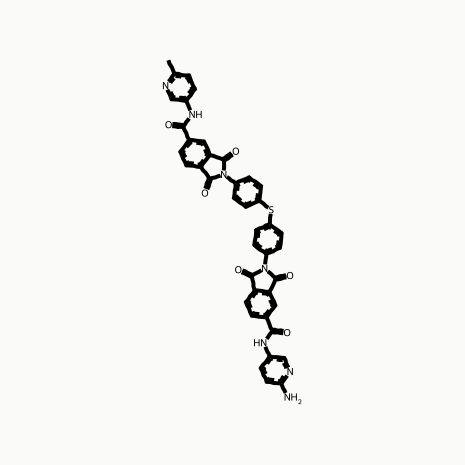 Cc1ccc(NC(=O)c2ccc3c(c2)C(=O)N(c2ccc(Sc4ccc(N5C(=O)c6ccc(C(=O)Nc7ccc(N)nc7)cc6C5=O)cc4)cc2)C3=O)cn1